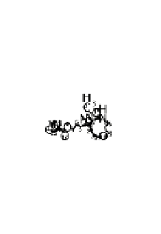 CCn1nc(CCCOC(=O)c2cocn2)c2c1C(=O)NCCCOCCC2